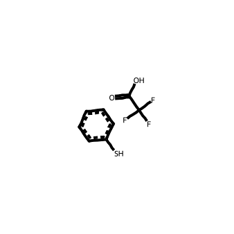 O=C(O)C(F)(F)F.Sc1ccccc1